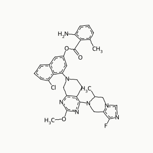 COc1nc2c(c(N3Cc4c(F)ncn4CC3C)n1)CCN(c1cc(OC(=O)c3c(C)cccc3N)cc3cccc(Cl)c13)C2